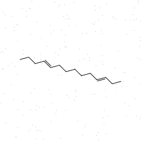 CCC=CCC[CH]CCC=CCCC